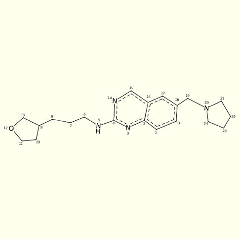 c1cc2nc(NCCCC3CCOC3)ncc2cc1CN1CCCC1